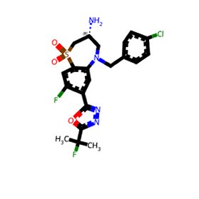 CC(C)(F)c1nnc(-c2cc3c(cc2F)S(=O)(=O)C[C@H](N)CN3Cc2ccc(Cl)cc2)o1